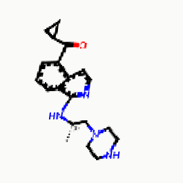 C[C@@H](CN1CCNCC1)Nc1nccc2c(C(=O)C3CC3)cccc12